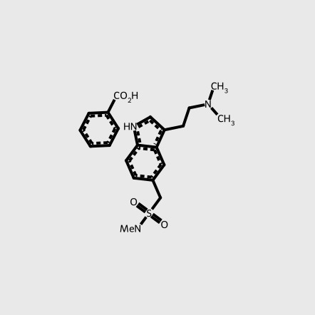 CNS(=O)(=O)Cc1ccc2[nH]cc(CCN(C)C)c2c1.O=C(O)c1ccccc1